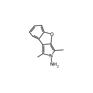 Cc1c2oc3ccccc3c2c(C)n1N